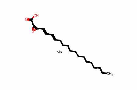 CCCCCCCCCCCCCC=CC=CC1=C(C(=O)O)O1.[Mo]